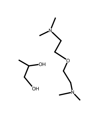 CC(O)CO.CN(C)CCOCCN(C)C